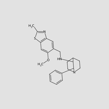 COc1cc2sc(C)nc2cc1CNC1C2CCN(CC2)C1c1ccccc1